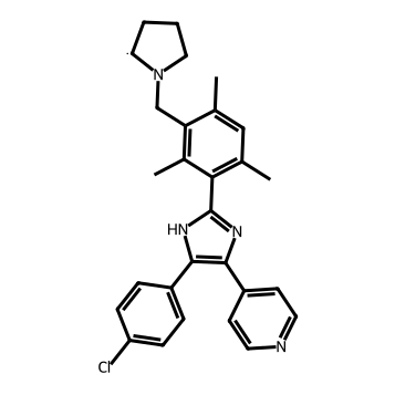 Cc1cc(C)c(-c2nc(-c3ccncc3)c(-c3ccc(Cl)cc3)[nH]2)c(C)c1CN1[CH]CCC1